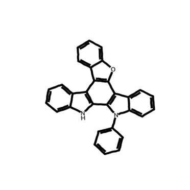 c1ccc(-n2c3ccccc3c3c4oc5ccccc5c4c4c5ccccc5[nH]c4c32)cc1